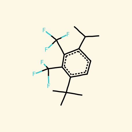 CC(C)c1ccc(C(C)(C)C)c(C(F)(F)F)c1C(F)(F)F